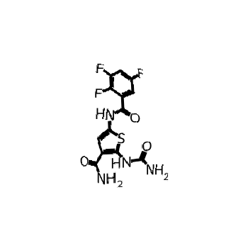 NC(=O)Nc1sc(NC(=O)c2cc(F)cc(F)c2F)cc1C(N)=O